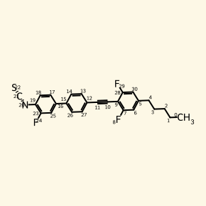 CCCCCc1cc(F)c(C#Cc2ccc(-c3ccc(N=C=S)c(F)c3)cc2)c(F)c1